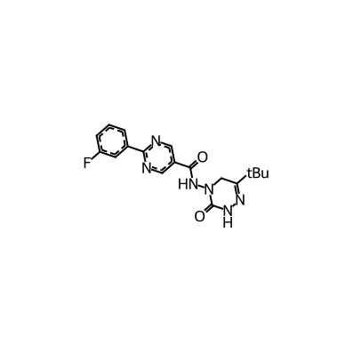 CC(C)(C)C1=NNC(=O)N(NC(=O)c2cnc(-c3cccc(F)c3)nc2)C1